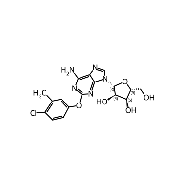 Cc1cc(Oc2nc(N)c3ncn([C@@H]4O[C@H](CO)[C@@H](O)[C@H]4O)c3n2)ccc1Cl